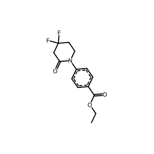 CCOC(=O)c1ccc(N2CCC(F)(F)CC2=O)cc1